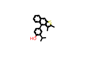 Cc1sc2cc3ccccc3c(-c3ccc(O)c(C(C)C)c3)c2c1C